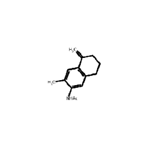 C=C1CCCc2cc(NC(C)=O)c(C)cc21